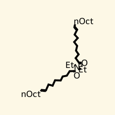 CCCCCCCCC=CCCCCCCCC(=O)[N+](CC)(CC)C(=O)CCCCCCCC=CCCCCCCCC